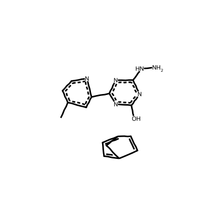 C1=CC2=CC=C1C2.Cc1ccnc(-c2nc(O)nc(NN)n2)c1